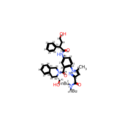 CCCCN(CCCC)C(=O)c1cc(C)n(-c2ccc(NC(=O)C(CCO)c3ccccc3)cc2C(=O)N2Cc3ccccc3C[C@H]2CO)n1